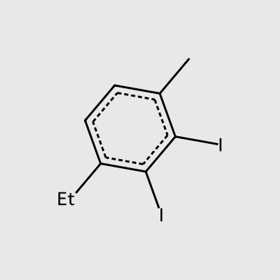 CCc1ccc(C)c(I)c1I